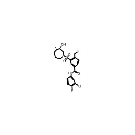 O=C(Nc1ccc(F)c(Cl)c1)c1ccc(CF)c(S(=O)(=O)N2CCC[C@H](F)[C@@H](O)C2)c1